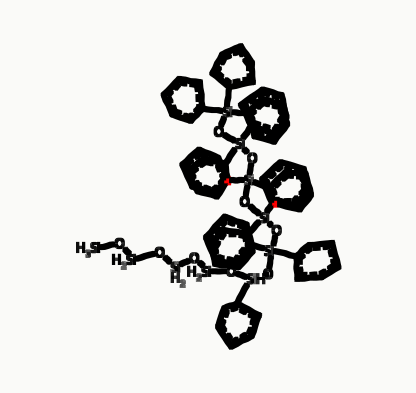 [SiH3]O[SiH2]O[SiH2]O[SiH2]O[SiH](O[Si](O[Si](O[Si](O[Si](O[Si](c1ccccc1)(c1ccccc1)c1ccccc1)(c1ccccc1)c1ccccc1)(c1ccccc1)c1ccccc1)(c1ccccc1)c1ccccc1)(c1ccccc1)c1ccccc1)c1ccccc1